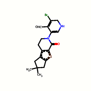 CC1(C)Cc2sc3c(c2C1)CCN(C1=CNCC(Br)=C1C=O)C3=O